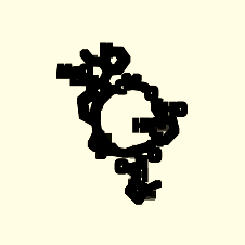 CCn1c(-c2cccnc2[C@H](C)OC)c2c3cc(ccc31)-c1csc(n1)C[C@H](NC(=O)[C@H]1CC[C@@H]1C)C(=O)N1CCC[C@](C=O)(COCC(C)(C)C2)N1